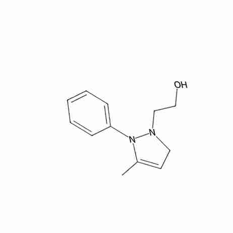 CC1=CCN(CCO)N1c1ccccc1